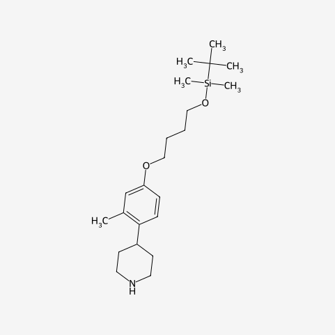 Cc1cc(OCCCCO[Si](C)(C)C(C)(C)C)ccc1C1CCNCC1